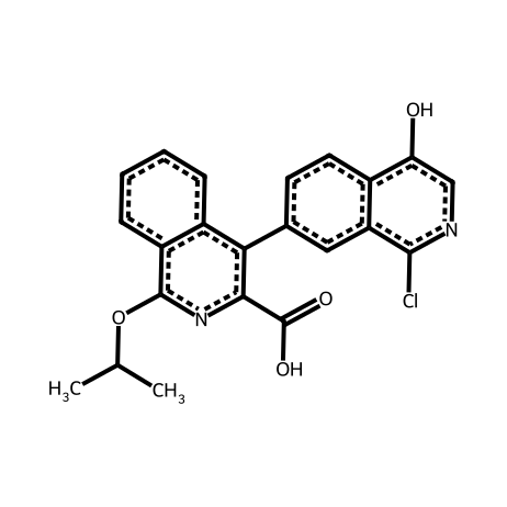 CC(C)Oc1nc(C(=O)O)c(-c2ccc3c(O)cnc(Cl)c3c2)c2ccccc12